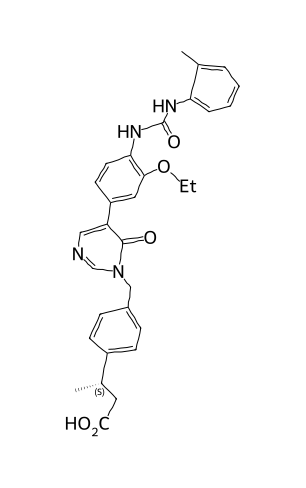 CCOc1cc(-c2cncn(Cc3ccc([C@@H](C)CC(=O)O)cc3)c2=O)ccc1NC(=O)Nc1ccccc1C